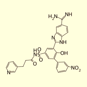 N=C(N)c1ccc2[nH]c(-c3cc(S(=O)(=O)NC(=O)CCc4cccnc4)cc(-c4cccc([N+](=O)[O-])c4)c3O)nc2c1